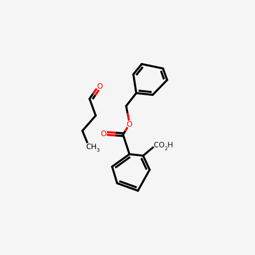 CCCC=O.O=C(O)c1ccccc1C(=O)OCc1ccccc1